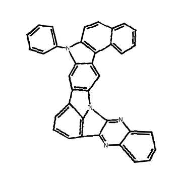 c1ccc(-n2c3cc4c5cccc6c7nc8ccccc8nc7n(c4cc3c3c4ccccc4ccc32)c56)cc1